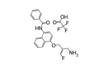 NCC(=CF)COc1ccc(NC(=O)c2ccccc2)c2ccccc12.O=C(O)C(F)(F)F